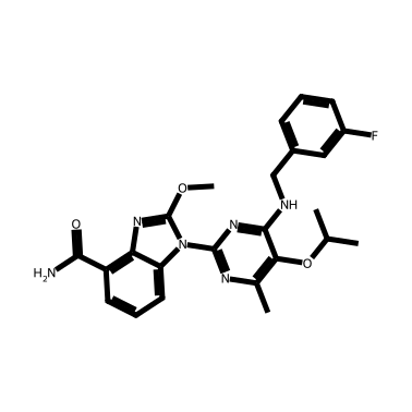 COc1nc2c(C(N)=O)cccc2n1-c1nc(C)c(OC(C)C)c(NCc2cccc(F)c2)n1